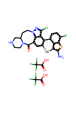 N#Cc1c(N)sc2c(F)ccc(-c3c(F)cc4c5c3c(Cl)nn5CCC3CNCCN3C4=O)c12.O=C(O)C(F)(F)F.O=C(O)C(F)(F)F